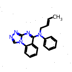 C/C=C/CN(c1ccccc1)c1nc2nncn2c2ccccc12